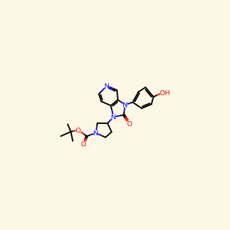 CC(C)(C)OC(=O)N1CCC(n2c(=O)n(-c3ccc(O)cc3)c3cnccc32)C1